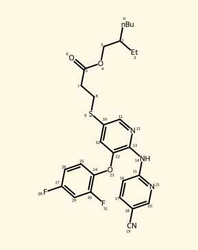 CCCCC(CC)COC(=O)CCSc1cnc(Nc2ccc(C#N)cn2)c(Oc2ccc(F)cc2F)c1